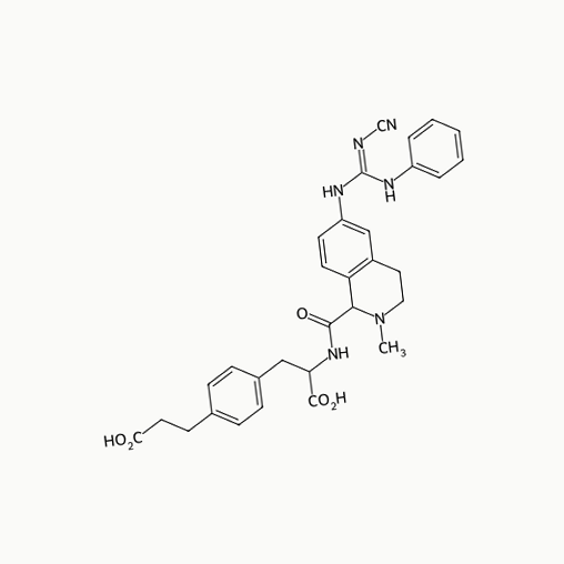 CN1CCc2cc(NC(=NC#N)Nc3ccccc3)ccc2C1C(=O)NC(Cc1ccc(CCC(=O)O)cc1)C(=O)O